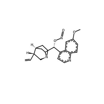 C=C[C@H]1C[N@]2CC[C@H]1CC2[C@H](ON=O)c1ccnc2ccc(OC)cc12